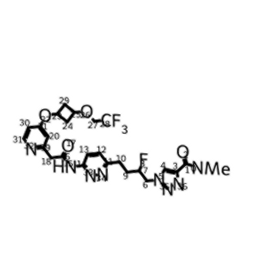 CNC(=O)c1cn(CC(F)CCc2ccc(NC(=O)Cc3cc(OC4CC(OCC(F)(F)F)C4)ccn3)nn2)nn1